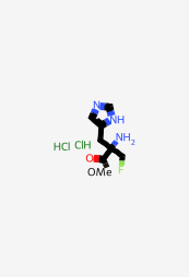 COC(=O)C(N)(CF)Cc1cnc[nH]1.Cl.Cl